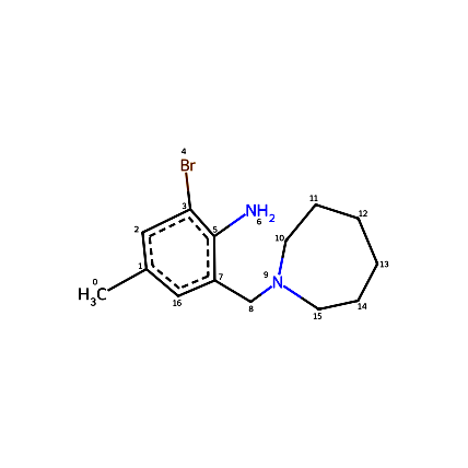 Cc1cc(Br)c(N)c(CN2CCCCCC2)c1